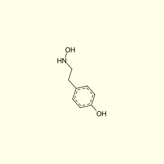 ONCCc1ccc(O)cc1